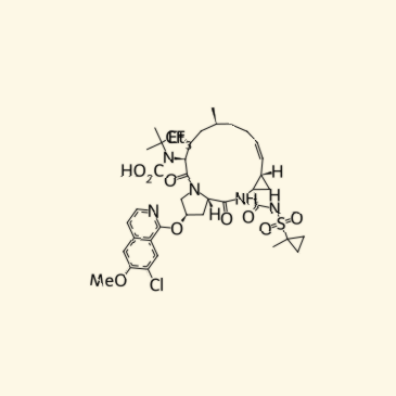 CC[C@@H]1C[C@@H](C)CCC=C[C@@H]2C[C@@]2(C(=O)NS(=O)(=O)C2(C)CC2)NC(=O)[C@@H]2C[C@@H](Oc3nccc4cc(OC)c(Cl)cc34)CN2C(=O)[C@H]1N(C(=O)O)C(C)(C)C(F)(F)F